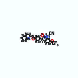 N#CCCNC(=O)C(=Cc1ccc(OC(F)(F)F)cc1)c1ccc(OCc2ccc3ccccc3n2)cc1